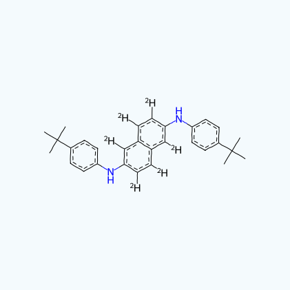 [2H]c1c(Nc2ccc(C(C)(C)C)cc2)c([2H])c2c([2H])c([2H])c(Nc3ccc(C(C)(C)C)cc3)c([2H])c2c1[2H]